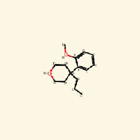 CCCC1(c2ccccc2OC)CCOCC1